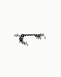 CCCC(c1ccc(CCCCCCCCCc2ccc(C(CCC)c3ccc(N)cc3C)cc2)cc1)c1ccc(N)cc1C